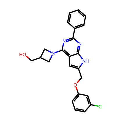 OCC1CN(c2nc(-c3ccccc3)nc3[nH]c(COc4cccc(Cl)c4)cc23)C1